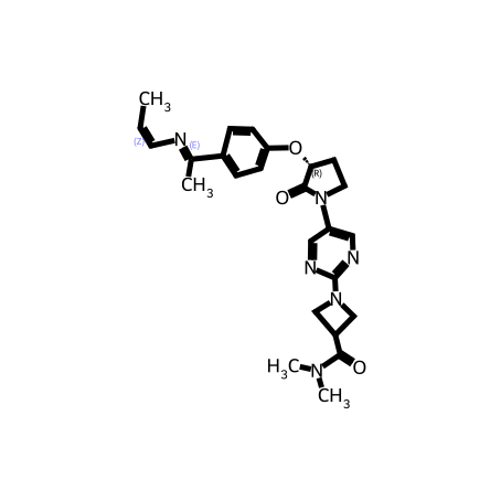 C/C=C\N=C(/C)c1ccc(O[C@@H]2CCN(c3cnc(N4CC(C(=O)N(C)C)C4)nc3)C2=O)cc1